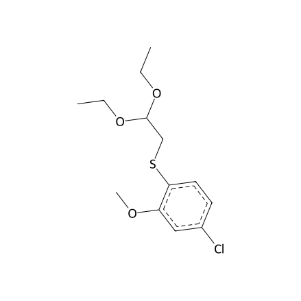 CCOC(CSc1ccc(Cl)cc1OC)OCC